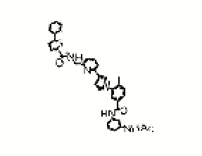 CC(=O)Nc1cccc(NC(=O)c2ccc(C)c(-n3ccc(-c4cccc(CNC(=O)c5ccc(-c6ccccc6)s5)n4)c3)c2)c1